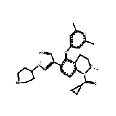 Cc1cc(Oc2c(/C(C=N)=C/NC3CCNCC3)ccc3c2CC[C@H](C)N3C(=O)C2CC2)cc(C)n1